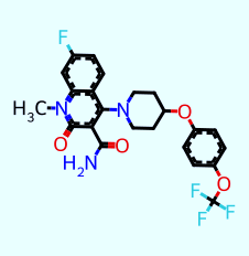 Cn1c(=O)c(C(N)=O)c(N2CCC(Oc3ccc(OC(F)(F)F)cc3)CC2)c2ccc(F)cc21